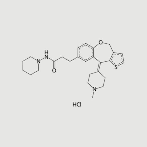 CN1CCC(=C2c3cc(CCC(=O)NN4CCCCC4)ccc3OCc3ccsc32)CC1.Cl